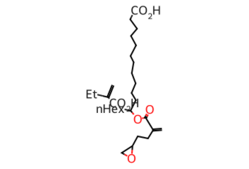 C=C(CC)C(=O)O.C=C(CCC1CO1)C(=O)OC(CCCCCC)CCCCCCCCCCC(=O)O